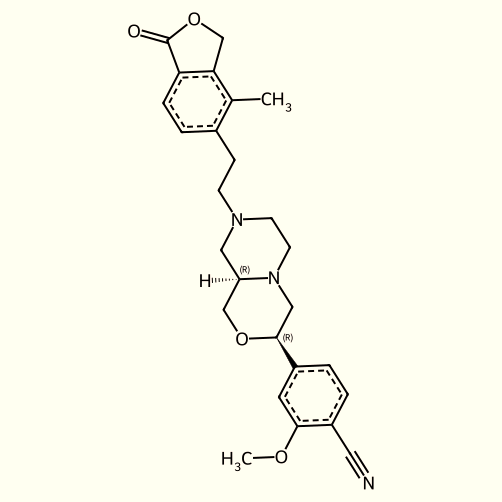 COc1cc([C@@H]2CN3CCN(CCc4ccc5c(c4C)COC5=O)C[C@@H]3CO2)ccc1C#N